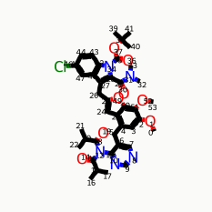 COc1cc(Cc2cncnc2N(C(=O)C(C)C)C(=O)C(C)C)c2cc(Cc3c(C(=O)N(C)C)n(C(=O)OC(C)(C)C)c4ccc(Cl)cc34)oc2c1OC